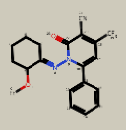 CCOC1CCCCC1=Nn1c(-c2ccccc2)cc(C(F)(F)F)c(C#N)c1=O